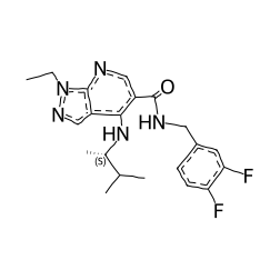 CCn1ncc2c(N[C@@H](C)C(C)C)c(C(=O)NCc3ccc(F)c(F)c3)cnc21